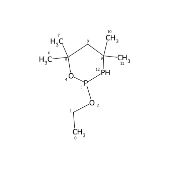 CCOP1OC(C)(C)CC(C)(C)P1